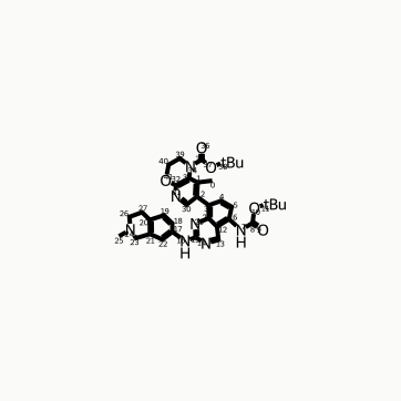 Cc1c(-c2ccc(NC(=O)OC(C)(C)C)c3cnc(Nc4ccc5c(c4)CN(C)CC5)nc23)cnc2c1N(C(=O)OC(C)(C)C)CCO2